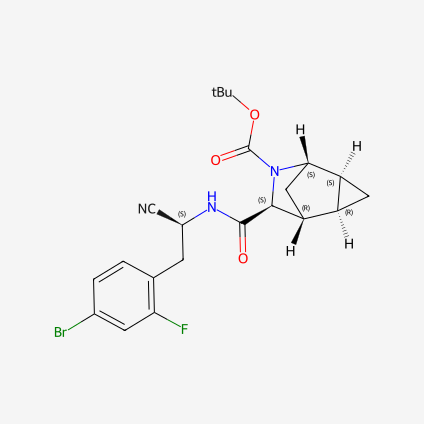 CC(C)(C)OC(=O)N1[C@H](C(=O)N[C@H](C#N)Cc2ccc(Br)cc2F)[C@@H]2C[C@H]1[C@H]1C[C@@H]21